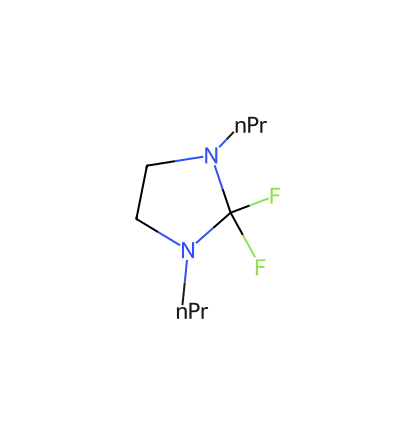 CCCN1CCN(CCC)C1(F)F